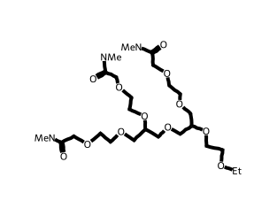 CCOCCOC(COCCOCC(=O)NC)COCC(COCCOCC(=O)NC)OCCOCC(=O)NC